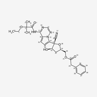 CCOC(C)(C)C(=O)Nc1ncnn2c([C@]3(C#N)O[C@@H](COC(=O)Cc4ccccc4)[CH][C@H]3O)ccc12